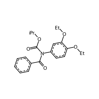 CCOc1ccc(N(C(=O)OC(C)C)C(=O)c2ccccc2)cc1OCC